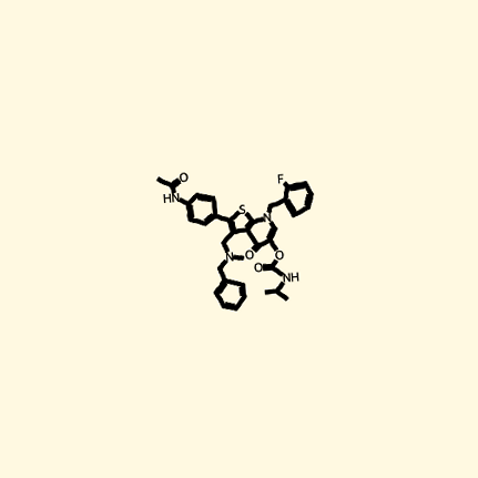 CC(=O)Nc1ccc(-c2sc3c(c2CN(C)Cc2ccccc2)c(=O)c(OC(=O)NC(C)C)cn3Cc2ccccc2F)cc1